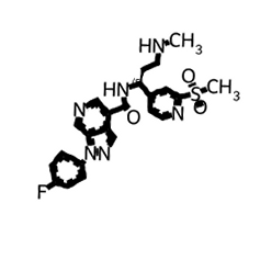 CNCC[C@H](NC(=O)c1cncc2c1cnn2-c1ccc(F)cc1)c1ccnc(S(C)(=O)=O)c1